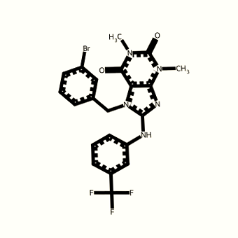 Cn1c(=O)c2c(nc(Nc3cccc(C(F)(F)F)c3)n2Cc2cccc(Br)c2)n(C)c1=O